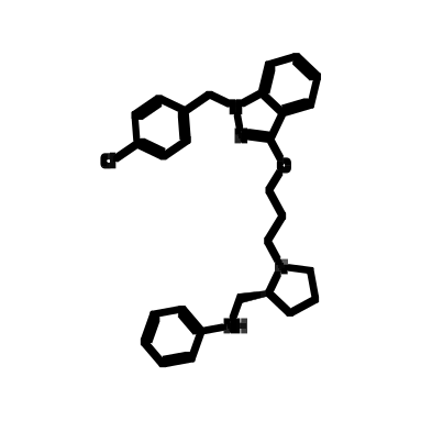 Clc1ccc(Cn2nc(OCCCN3CCC[C@H]3CNc3ccccc3)c3ccccc32)cc1